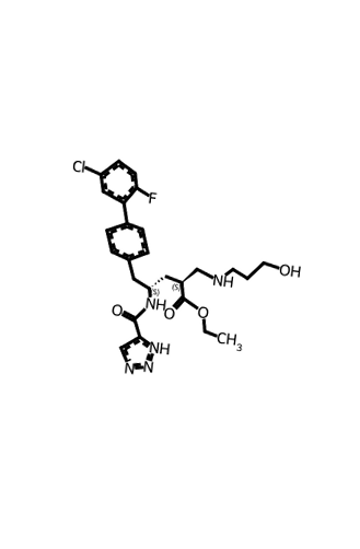 CCOC(=O)[C@H](CNCCCO)C[C@@H](Cc1ccc(-c2cc(Cl)ccc2F)cc1)NC(=O)c1cnn[nH]1